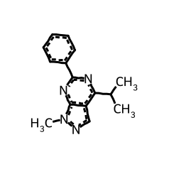 CC(C)c1nc(-c2ccccc2)nc2c1cnn2C